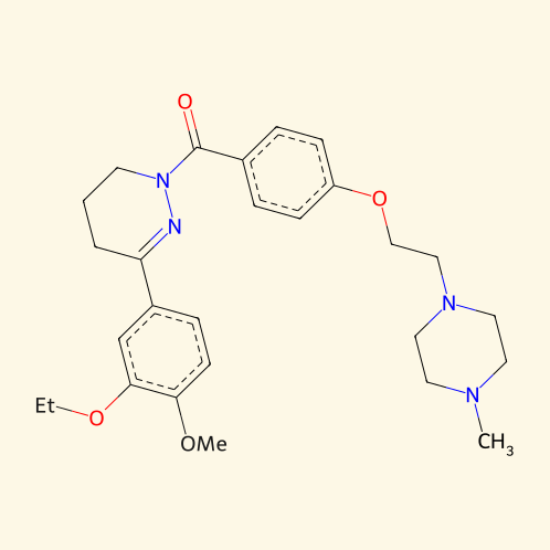 CCOc1cc(C2=NN(C(=O)c3ccc(OCCN4CCN(C)CC4)cc3)CCC2)ccc1OC